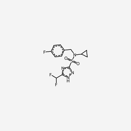 O=S(=O)(c1n[nH]c(C(F)F)n1)N(Cc1ccc(F)cc1)C1CC1